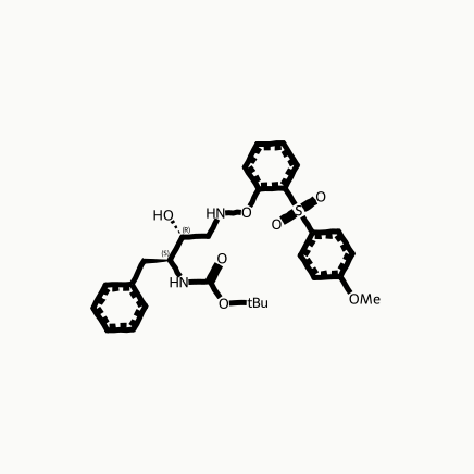 COc1ccc(S(=O)(=O)c2ccccc2ONC[C@@H](O)[C@H](Cc2ccccc2)NC(=O)OC(C)(C)C)cc1